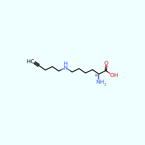 C#CCCCNCCCC[C@H](N)C(=O)O